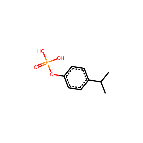 CC(C)c1ccc(OP(=O)(O)O)cc1